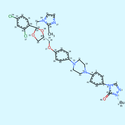 CC[C@@H](C)n1ncn(-c2ccc(N3CCN(c4ccc(OC[C@@H]5CO[C@@](Cn6ccnc6C)(c6ccc(Cl)cc6Cl)O5)cc4)CC3)cc2)c1=O